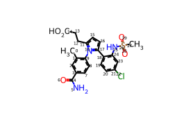 Cc1cc(C(N)=O)ccc1-n1c(CCC(=O)O)ccc1-c1ccc(Cl)cc1NS(C)(=O)=O